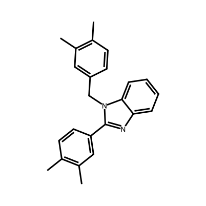 Cc1ccc(Cn2c(-c3ccc(C)c(C)c3)nc3ccccc32)cc1C